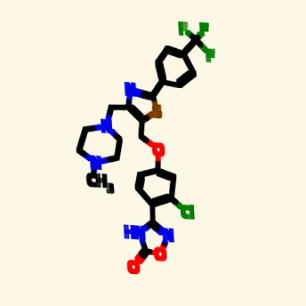 CN1CCN(Cc2nc(-c3ccc(C(F)(F)F)cc3)sc2COc2ccc(-c3noc(=O)[nH]3)c(Cl)c2)CC1